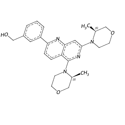 C[C@H]1COCCN1c1cc2nc(-c3cccc(CO)c3)ccc2c(N2CCOC[C@@H]2C)n1